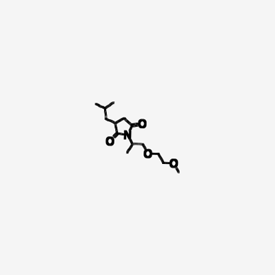 COCCOCC(C)N1C(=O)CC(CC(C)C)C1=O